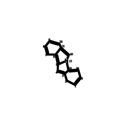 C1=CCc2cc3c4ccccc4cn3c2=C1